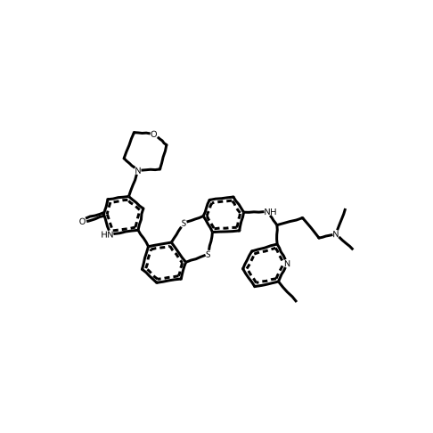 Cc1cccc(C(CCN(C)C)Nc2ccc3c(c2)Sc2cccc(-c4cc(N5CCOCC5)cc(=O)[nH]4)c2S3)n1